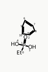 CCP(=O)(O)O.c1ccccc1